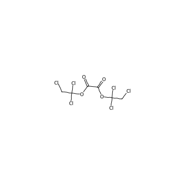 O=C(OC(Cl)(Cl)CCl)C(=O)OC(Cl)(Cl)CCl